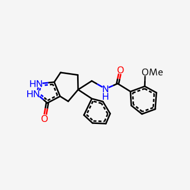 COc1ccccc1C(=O)NCC1(c2ccccc2)CCc2[nH][nH]c(=O)c2C1